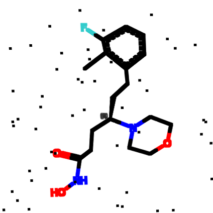 Cc1c(F)cccc1CC[C@H](CCC(=O)NO)N1CCOCC1